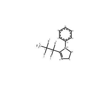 FC(F)(F)C(F)(F)C(F)(F)C1=NCCN1c1ccccc1